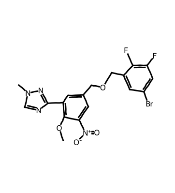 COc1c(-c2ncn(C)n2)cc(COCc2cc(Br)cc(F)c2F)cc1[N+](=O)[O-]